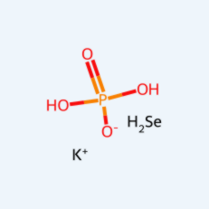 O=P([O-])(O)O.[K+].[SeH2]